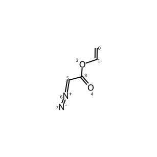 C=COC(=O)C=[N+]=[N-]